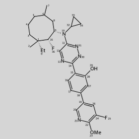 CC[C@]1(C)CCCC(C)C[C@H](N(c2cnc(-c3ccc(-c4cnc(OC)c(F)c4)cc3O)nn2)C2CC2)[C@@H]1F